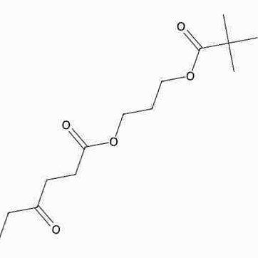 CCC(=O)CCC(=O)OCCCOC(=O)C(C)(C)C